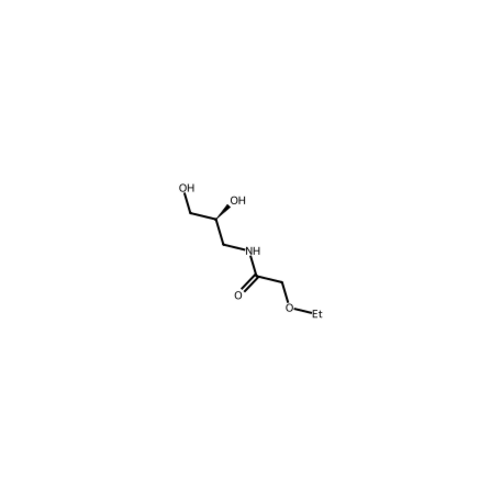 CCOCC(=O)NC[C@H](O)CO